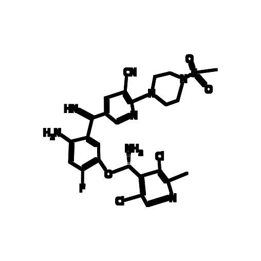 Cc1ncc(Cl)c([C@@H](N)Oc2cc(C(=N)c3cnc(N4CCN(S(C)(=O)=O)CC4)c(C#N)c3)c(N)cc2F)c1Cl